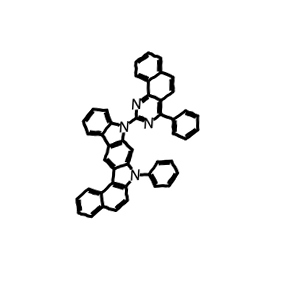 c1ccc(-c2nc(-n3c4ccccc4c4cc5c6c7ccccc7ccc6n(-c6ccccc6)c5cc43)nc3c2ccc2ccccc23)cc1